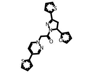 O=C(CN1C=C=C(c2cccs2)C=N1)N1N=C(c2cccs2)CC1c1ccco1